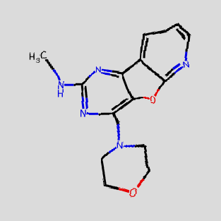 CNc1nc(N2CCOCC2)c2oc3ncccc3c2n1